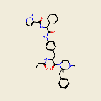 CCC(=O)NC(Cc1ccc(NC(=O)C(NC(=O)c2ccnn2C)C2CCCCC2)cc1)C(=O)N1CCN(C)C[C@H]1Cc1ccccc1